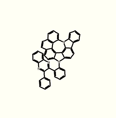 c1ccc(-c2nc3ccccc3nc2-c2ccccc2-n2c3ccc4ccc5cccc6c5c4c3c3c2ccc2c4ccccc4n6c23)cc1